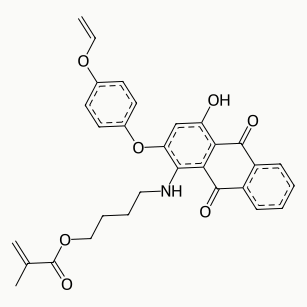 C=COc1ccc(Oc2cc(O)c3c(c2NCCCCOC(=O)C(=C)C)C(=O)c2ccccc2C3=O)cc1